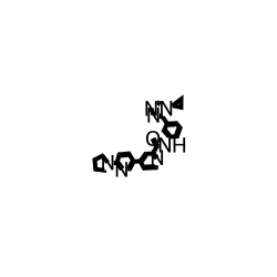 O=C(Nc1cccc(-c2nncn2C2CC2)c1)c1cc(-c2ccc(N3CCCC3)nc2)ccn1